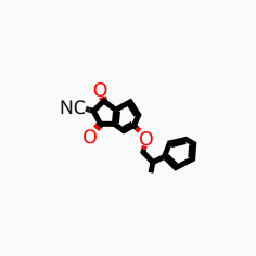 CC(COc1ccc2c(c1)C(=O)C(C#N)C2=O)c1ccccc1